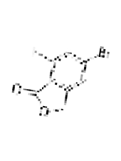 O=C1OCc2cc(Br)cc(I)c21